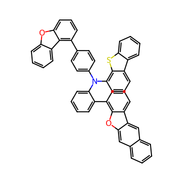 c1ccc(N(c2ccc(-c3cccc4oc5ccccc5c34)cc2)c2cccc3c2sc2ccccc23)c(-c2cccc3c2oc2cc4ccccc4cc23)c1